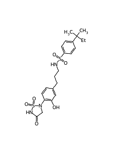 CCC(C)(C)c1ccc(S(=O)(=O)NCCCc2ccc(N3CC(=O)NS3(=O)=O)c(O)c2)cc1